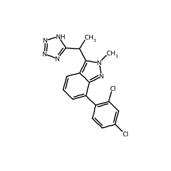 CC(c1nnn[nH]1)c1c2cccc(-c3ccc(Cl)cc3Cl)c2nn1C